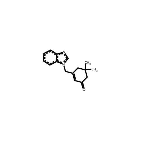 CC1(C)CC(=O)C=C(Cn2cnc3ccccc32)C1